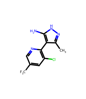 Cc1n[nH]c(N)c1-c1ncc(C(F)(F)F)cc1Cl